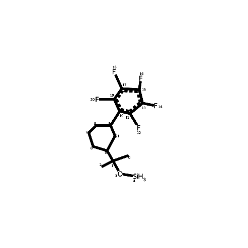 CC(C)(O[SiH3])C1CCCC(c2c(F)c(F)c(F)c(F)c2F)C1